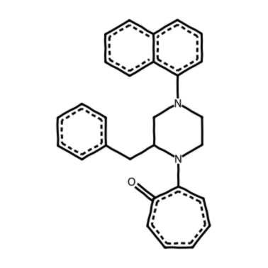 O=c1cccccc1N1CCN(c2cccc3ccccc23)CC1Cc1ccccc1